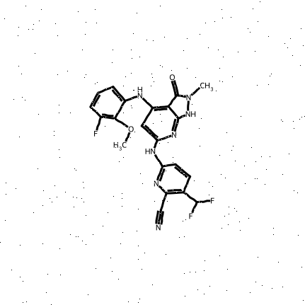 COc1c(F)cccc1Nc1cc(Nc2ccc(C(F)F)c(C#N)n2)nc2[nH]n(C)c(=O)c12